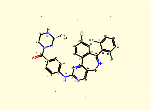 C[C@@H]1CN(C(=O)c2ccc(Nc3ncc4c(n3)-c3ccc(Cl)cc3C(c3c(F)cccc3F)=NC4)cc2)CCN1